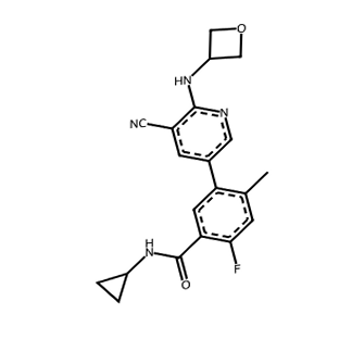 Cc1cc(F)c(C(=O)NC2CC2)cc1-c1cnc(NC2COC2)c(C#N)c1